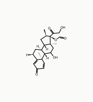 C[C@@H]1C[C@H]2[C@@H]3C[C@H](F)C4=CC(=O)C=C[C@]4(C)[C@H]3C(O)C[C@]2(C)[C@@]1(OC=O)C(=O)CO